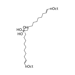 CCCCCCCCC=CCCCCCCCCP(O)(O)(O)CCCCCCCCC=CCCCCCCCC